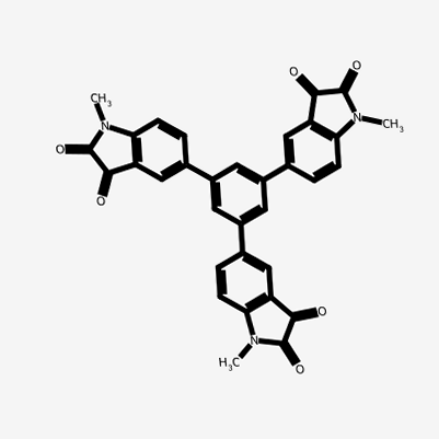 CN1C(=O)C(=O)c2cc(-c3cc(-c4ccc5c(c4)C(=O)C(=O)N5C)cc(-c4ccc5c(c4)C(=O)C(=O)N5C)c3)ccc21